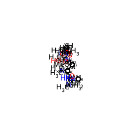 C=C(Nc1ccccc1)[C@@H](CN(C)C)NC(=O)c1cc(-c2cccc(CN3O[C@@H](CO)[C@@H]([C@H](C)O)[C@H]3C(=O)N[C@H]3C[C@H]4C[C@@H]([C@@H]3C)C4(C)C)c2OC)cc(N(C)C)c1